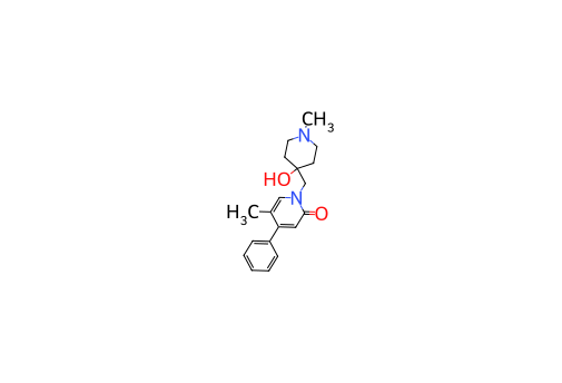 Cc1cn(CC2(O)CCN(C)CC2)c(=O)cc1-c1ccccc1